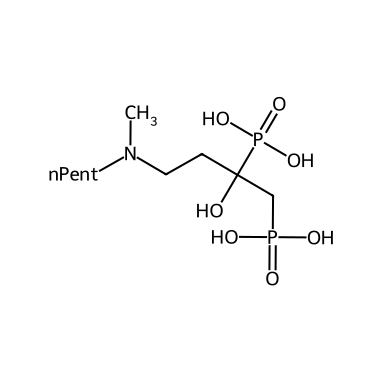 CCCCCN(C)CCC(O)(CP(=O)(O)O)P(=O)(O)O